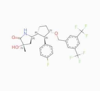 C[C@]1(O)C[C@H]([C@@H]2CC[C@H](OCc3cc(C(F)(F)F)cc(C(F)(F)F)c3)[C@H]2c2ccc(F)cc2)NC1=O